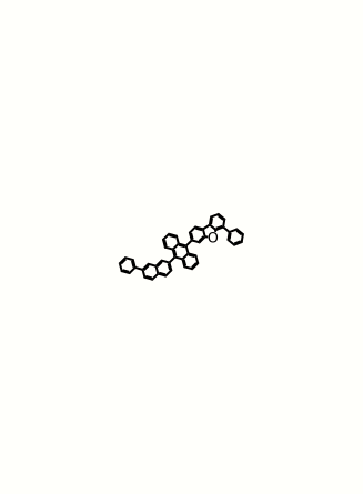 c1ccc(-c2ccc3ccc(-c4c5ccccc5c(-c5ccc6c(c5)oc5c(-c7ccccc7)cccc56)c5ccccc45)cc3c2)cc1